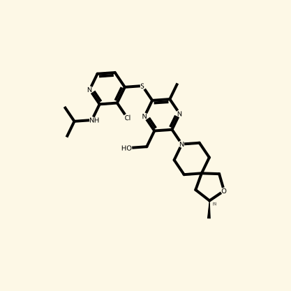 Cc1nc(N2CCC3(CC2)CO[C@@H](C)C3)c(CO)nc1Sc1ccnc(NC(C)C)c1Cl